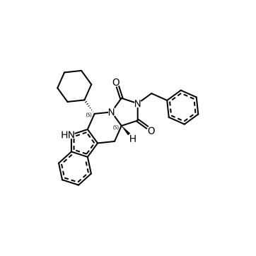 O=C1[C@@H]2Cc3c([nH]c4ccccc34)[C@H](C3CCCCC3)N2C(=O)N1Cc1ccccc1